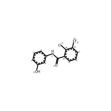 O=C(Nc1cccc(O)c1)c1cccc(C(F)(F)F)c1Cl